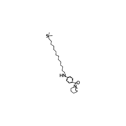 C[Si](C)(C)CCCCCCCCCCCCCCNc1ccc(C(=O)N2CCCCC2)cc1